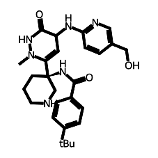 CN1NC(=O)C(Nc2ccc(CO)cn2)C=C1[C@@]1(NC(=O)c2ccc(C(C)(C)C)cc2)CCCNC1